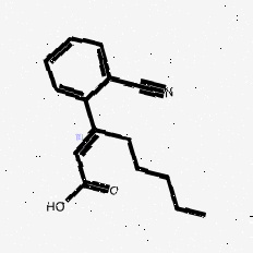 CCCCC/C(=C\C(=O)O)c1ccccc1C#N